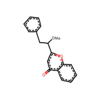 COC(Cc1ccccc1)c1cc(=O)c2ccccc2o1